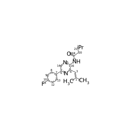 CC(C)=Cc1nc(-c2ccc(F)cc2)cnc1NC(=O)CC(C)C